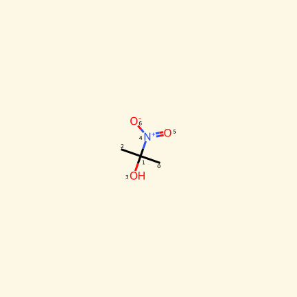 CC(C)(O)[N+](=O)[O-]